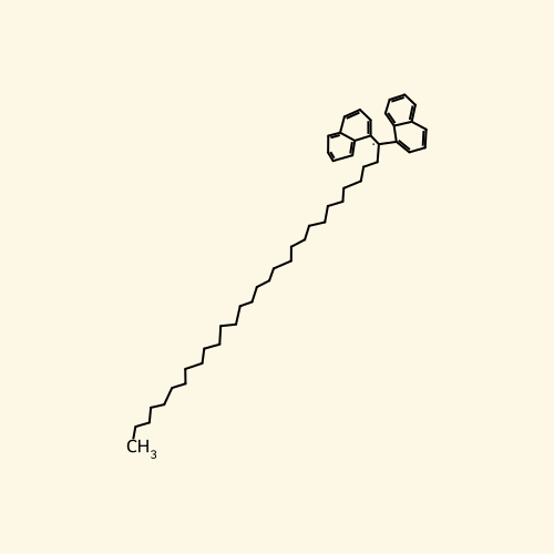 CCCCCCCCCCCCCCCCCCCCCCCCCCCCC[C](c1cccc2ccccc12)c1cccc2ccccc12